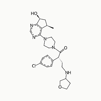 C[C@@H]1C[C@H](O)c2ncnc(N3CCN(C(=O)[C@H](CCNC4CCOC4)c4ccc(Cl)cc4)CC3)c21